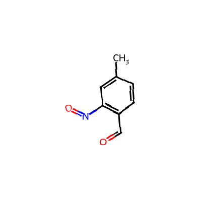 Cc1ccc(C=O)c(N=O)c1